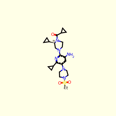 CCS(=O)(=O)N1CCN(c2cc(N)c(N3CCN(C(=O)C4CC4)[C@H](C4CC4)C3)nc2C2CC2)CC1